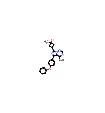 CC1(O)CC(c2nc(-c3ccc(Oc4ccccc4)cc3)c3c([AsH2])ncnn23)C1